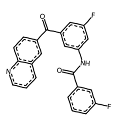 O=C(Nc1cc(F)cc(C(=O)c2ccc3ncccc3c2)c1)c1cccc(F)c1